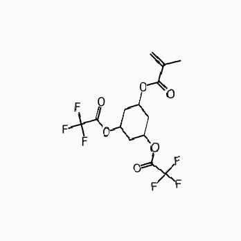 C=C(C)C(=O)OC1CC(OC(=O)C(F)(F)F)CC(OC(=O)C(F)(F)F)C1